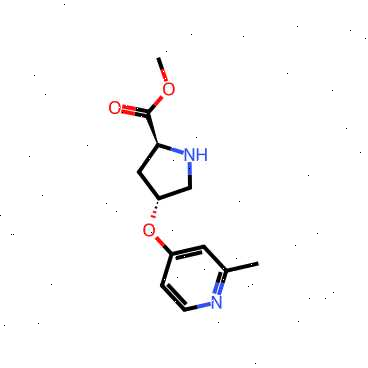 COC(=O)[C@@H]1C[C@@H](Oc2ccnc(C)c2)CN1